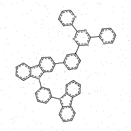 c1ccc(-c2nc(-c3cccc(-c4ccc5c6ccccc6n(-c6cccc(-n7c8ccccc8c8ccccc87)c6)c5c4)c3)nc(-c3ccccn3)n2)nc1